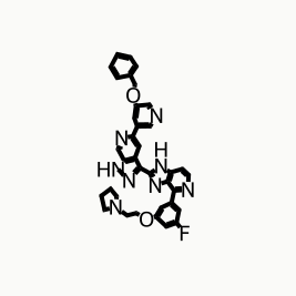 Fc1cc(OCCN2CCCC2)cc(-c2nccc3[nH]c(-c4n[nH]c5cnc(-c6cncc(OCc7ccccc7)c6)cc45)nc23)c1